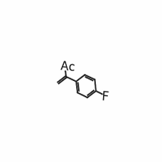 C=C(C(C)=O)c1ccc(F)cc1